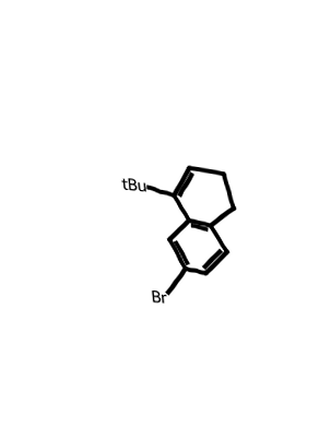 CC(C)(C)C1=CCCc2ccc(Br)cc21